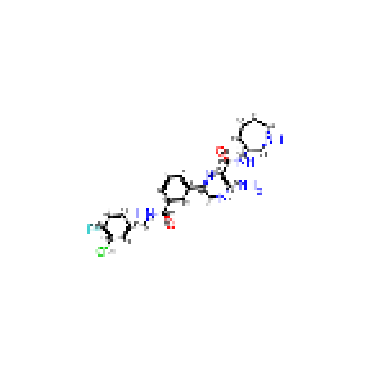 Nc1ncc(-c2cccc(C(=O)NCc3ccc(F)c(Cl)c3)c2)nc1C(=O)N[C@H]1CCCCNC1